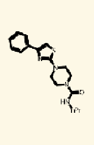 CCCNC(=O)N1CCN(c2nc(-c3ccccc3)cs2)CC1